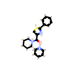 O=C(c1csc(-c2ccccc2)n1)N1CCCC[C@H]1c1ccccn1